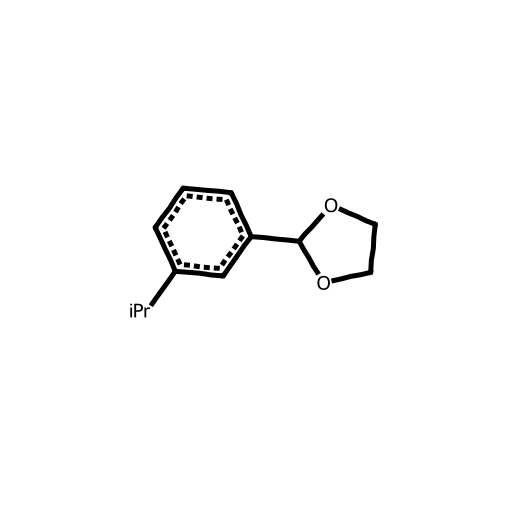 CC(C)c1cccc(C2OCCO2)c1